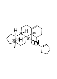 C[C@@]12CCC[C@H]1[C@@H]1CCC3=CCCC(OC4=CCCC4)[C@]3(CO)[C@H]1CC2